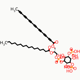 CC#CC#CC#CC#CC#CC#CC#CC(=O)OC[C@H](COP(=O)(O)OC1C(O)[C@H](OP(=O)(O)O)[C@H](O)C(OP(=O)(O)O)[C@@H]1O)OC(=O)CCCCCCCCCCCCCCC